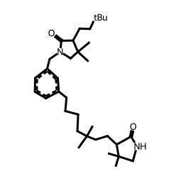 CC(C)(C)CCC1C(=O)N(Cc2cccc(CCCCC(C)(C)CCC3C(=O)NCC3(C)C)c2)CC1(C)C